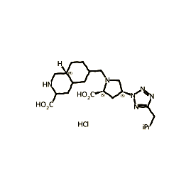 CC(C)Cc1nnn([C@H]2C[C@@H](C(=O)O)N(CC3CC[C@H]4CNC(C(=O)O)CC4C3)C2)n1.Cl